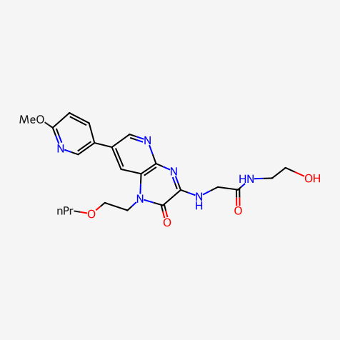 CCCOCCn1c(=O)c(NCC(=O)NCCO)nc2ncc(-c3ccc(OC)nc3)cc21